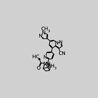 C#CC(=O)NC1(C)C2CC1CN(c1ccc(-c3cc(-c4cnn(C)c4)cn4ncc(C#N)c34)cn1)C2